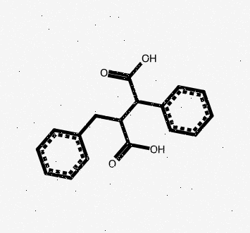 O=C(O)[C](Cc1ccccc1)C(C(=O)O)c1ccccc1